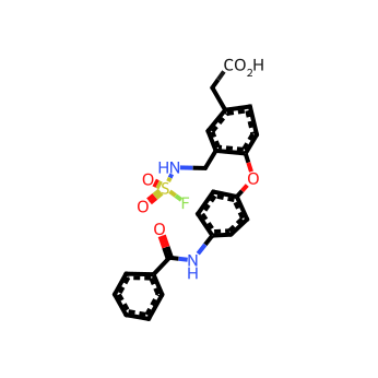 O=C(O)Cc1ccc(Oc2ccc(NC(=O)c3ccccc3)cc2)c(CNS(=O)(=O)F)c1